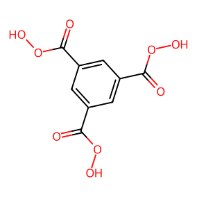 O=C(OO)c1cc(C(=O)OO)cc(C(=O)OO)c1